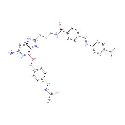 CN(C)c1ccc(N=Nc2ccc(C(=O)NCCCc3nc4c(OCc5ccc(CNC(=O)C(F)(F)F)cc5)nc(N)nc4[nH]3)cc2)cc1